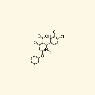 CCn1c(Oc2ccccc2)cc(=O)c(C(=O)O)c1-c1ccc(Cl)c(Cl)c1